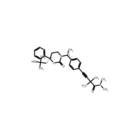 C[C@@H](c1ccc(C#CC(C)(C)C(=O)N(C)C)cc1)N1CC[C@](CC(C)(C)O)(c2ccccc2)OC1=O